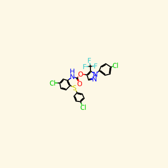 O=C(Nc1cc(Cl)ccc1Sc1ccc(Cl)cc1)Oc1cnn(-c2ccc(Cl)cc2)c1C(F)(F)F